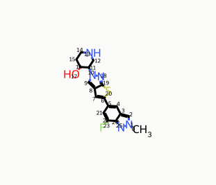 Cn1cc2cc(-c3cc4cn(C5CNCC[C@@H]5O)nc4s3)cc(F)c2n1